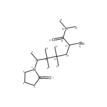 CC(N1CCCC1=O)C(C)(C)C(C)(C)CC(C(=O)N(C)C)C(C)(C)C